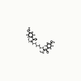 CCN(CCCCCCN(CC)C(=O)c1ccc(OC)cc1)C(=O)c1ccc(OC)cc1